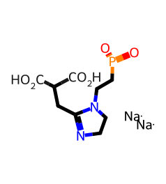 O=C(O)C(CC1=NCCN1CCP(=O)=O)C(=O)O.[Na].[Na]